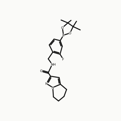 CC1(C)OB(c2ccc(CNC(=O)c3cc4n(n3)CCCC4)c(F)c2)OC1(C)C